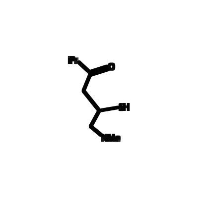 CNCC(S)CC(=O)C(C)C